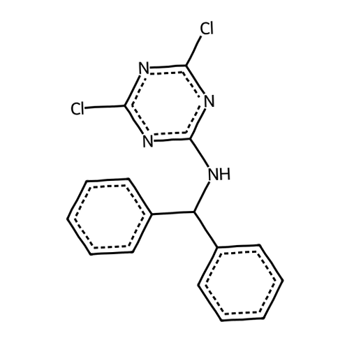 Clc1nc(Cl)nc(NC(c2ccccc2)c2ccccc2)n1